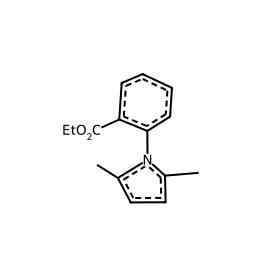 CCOC(=O)c1ccccc1-n1c(C)ccc1C